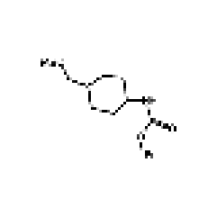 COCC1CCC(NC(=O)OC(C)(C)C)CC1